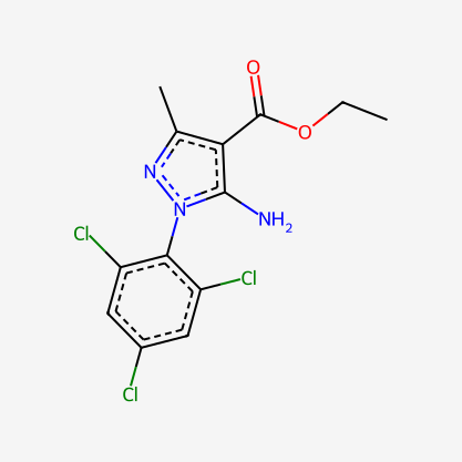 CCOC(=O)c1c(C)nn(-c2c(Cl)cc(Cl)cc2Cl)c1N